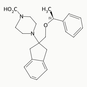 C[C@H](OCC1(N2CCN(C(=O)O)CC2)Cc2ccccc2C1)c1ccccc1